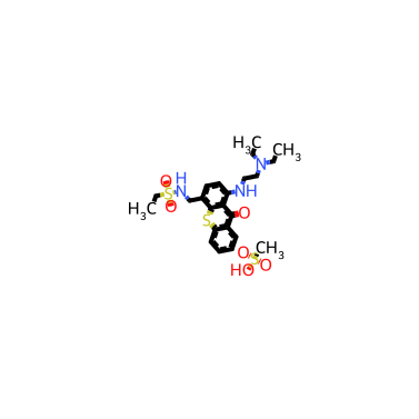 CCN(CC)CCNc1ccc(CNS(=O)(=O)CC)c2sc3ccccc3c(=O)c12.CS(=O)(=O)O